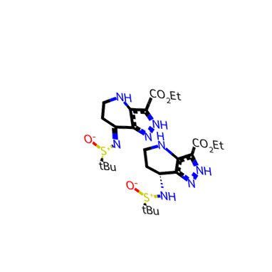 CCOC(=O)c1[nH]nc2c1NCC/C2=N\[S@+]([O-])C(C)(C)C.CCOC(=O)c1[nH]nc2c1NCC[C@H]2N[S@+]([O-])C(C)(C)C